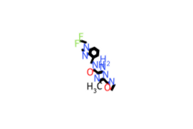 Cc1nc(C(=O)NCc2cccc3c2ncn3CC(F)F)c(N)nc1-c1ncco1